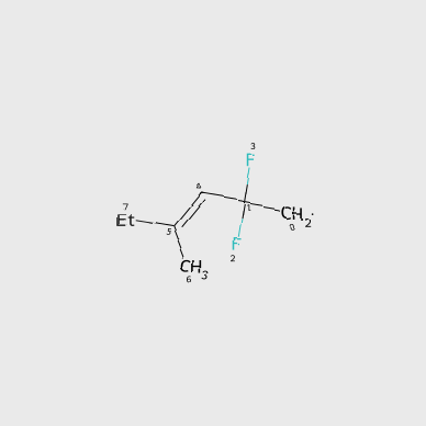 [CH2]C(F)(F)C=C(C)CC